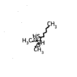 CCCCCCC(S)C[SiH](OCC)OCC